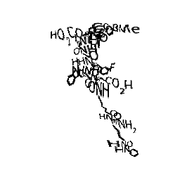 COc1ccc(S(=O)(=O)N[C@H](CC(=O)O)C(=O)N[C@@H](CCC(=O)O)C(=O)NCC(=O)N[C@@H](Cc2cccc(F)c2)C(=O)N[C@@H](Cc2c[nH]c3ccccc23)C(=O)N[C@@H](CCC(=O)O)C(=O)NCCCCCC(=O)N[C@@H](CCCCNC(=O)Nc2ccccc2)C(N)=O)cc1